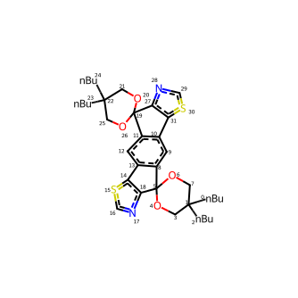 CCCCC1(CCCC)COC2(OC1)c1cc3c(cc1-c1scnc12)C1(OCC(CCCC)(CCCC)CO1)c1ncsc1-3